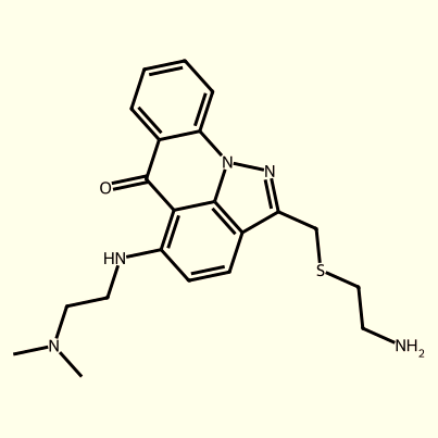 CN(C)CCNc1ccc2c(CSCCN)nn3c4ccccc4c(=O)c1c23